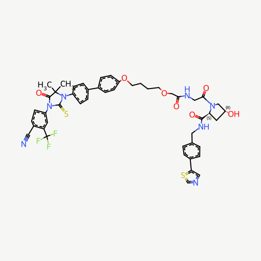 CC1(C)C(=O)N(c2ccc(C#N)c(C(F)(F)F)c2)C(=S)N1c1ccc(-c2ccc(OCCCCOCC(=O)NCC(=O)N3C[C@H](O)C[C@H]3C(=O)NCc3ccc(-c4cncs4)cc3)cc2)cc1